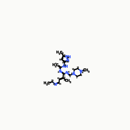 C=C(/N=C(\N=C\N1CCN(C)CC1)C(/C)=C/C=N\CC)Nc1cc(C)[nH]n1